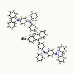 CC(C)(C)c1ccc2c(-c3ccc(N(c4ccccc4)c4ccc(-n5c6ccccc6c6ccccc65)cc4)cc3)c3ccccc3c(-c3ccc(N(c4ccccc4)c4ccc(-n5c6ccccc6c6ccccc65)cc4)cc3)c2c1